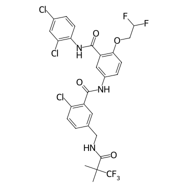 CC(C)(C(=O)NCc1ccc(Cl)c(C(=O)Nc2ccc(OCC(F)F)c(C(=O)Nc3ccc(Cl)cc3Cl)c2)c1)C(F)(F)F